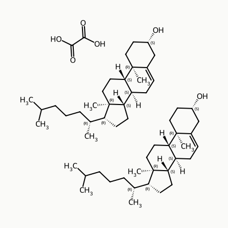 CC(C)CCC[C@@H](C)[C@H]1CC[C@H]2[C@@H]3CC=C4C[C@@H](O)CC[C@]4(C)[C@H]3CC[C@]12C.CC(C)CCC[C@@H](C)[C@H]1CC[C@H]2[C@@H]3CC=C4C[C@@H](O)CC[C@]4(C)[C@H]3CC[C@]12C.O=C(O)C(=O)O